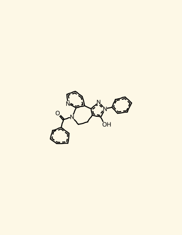 O=C(c1ccccc1)N1CCc2c(nn(-c3ccccc3)c2O)-c2cccnc21